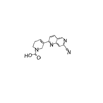 N#Cc1cc2nc(C3=CCCN(C(=O)O)C3)ccc2cn1